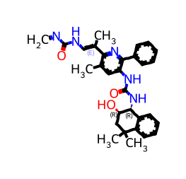 C=NC(=O)N/C=C(\C)c1nc(-c2ccccc2)c(NC(=O)N[C@@H]2c3ccccc3C(C)(C)C[C@H]2O)cc1C